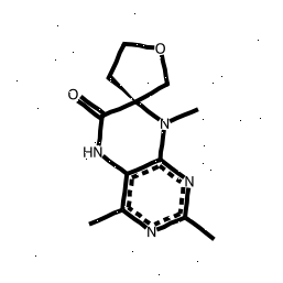 Cc1nc(C)c2c(n1)N(C)[C@]1(CCOC1)C(=O)N2